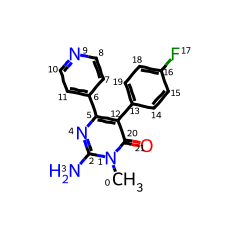 Cn1c(N)nc(-c2ccncc2)c(-c2ccc(F)cc2)c1=O